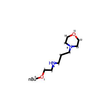 CCCCOCCNCCCN1CCOCC1